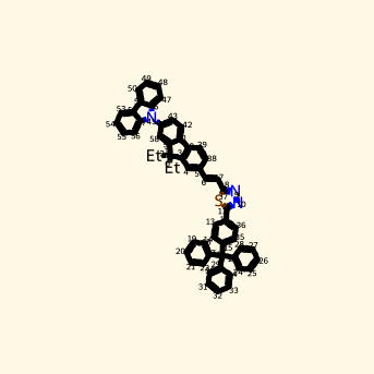 CCC1(CC)c2cc(/C=C/c3nnc(-c4ccc(C(c5ccccc5)(c5ccccc5)c5ccccc5)cc4)s3)ccc2-c2ccc(-n3c4ccccc4c4ccccc43)cc21